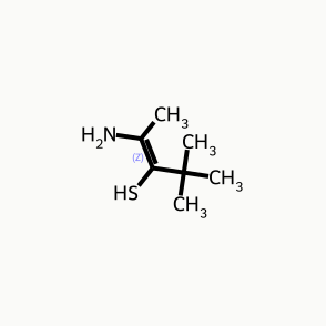 C/C(N)=C(/S)C(C)(C)C